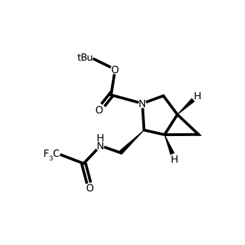 CC(C)(C)OC(=O)N1C[C@@H]2C[C@@H]2[C@H]1CNC(=O)C(F)(F)F